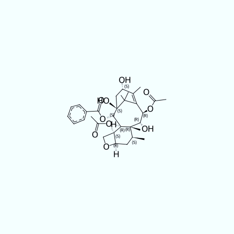 CC(=O)O[C@@H]1C2=C(C)[C@@H](O)C[C@@](O)([C@@H](OC(=O)c3ccccc3)[C@@H]3[C@]4(OC(C)=O)CO[C@@H]4C[C@H](C)[C@@]3(C)[C@H]1O)C2(C)C